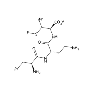 CC(C)C[C@H](N)C(=O)N[C@@H](CCN)C(=O)N[C@H](C(=O)O)C(SF)C(C)C